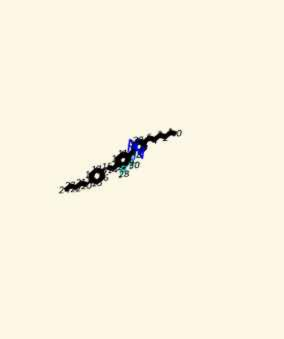 CCCCCCc1cnc(-c2ccc(CC[C@H]3CC[C@H](CCCCC)CC3)c(F)c2F)nc1